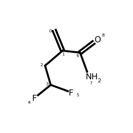 C=C(CC(F)F)C(N)=O